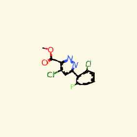 COC(=O)c1nnc(-c2c(F)cccc2Cl)cc1Cl